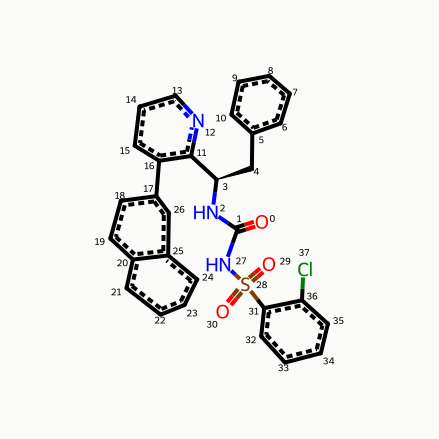 O=C(N[C@H](Cc1ccccc1)c1ncccc1-c1ccc2ccccc2c1)NS(=O)(=O)c1ccccc1Cl